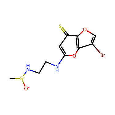 C[S+]([O-])NCCNc1cc(=S)c2occ(Br)c2o1